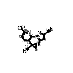 Cc1cc(C#N)nn1-c1nc(Cl)ccc1C1(C#N)CC1